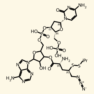 CC(C)SS[C@@H](CN=[N+]=[N-])C[C@@H](N)C(=O)OC1C(COP(=O)(O)O[C@H]2C[C@H](n3ccc(N)nc3=O)O[C@@H]2COP(=O)(O)O)OC(n2cnc3c(N)ncnc32)C1O